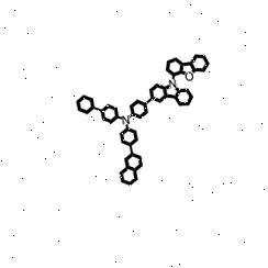 c1ccc(-c2ccc(N(c3ccc(-c4ccc5ccccc5c4)cc3)c3ccc(-c4ccc5c(c4)c4ccccc4n5-c4cccc5c4oc4ccccc45)cc3)cc2)cc1